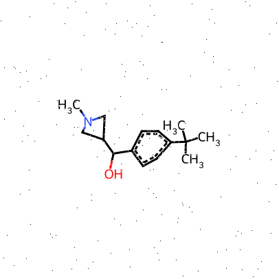 CN1CC(C(O)c2ccc(C(C)(C)C)cc2)C1